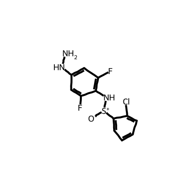 NNc1cc(F)c(N[S+]([O-])c2ccccc2Cl)c(F)c1